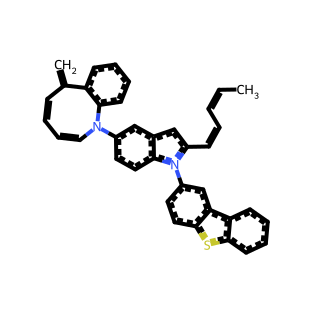 C=C1/C=C\C=C/N(c2ccc3c(c2)cc(/C=C\C=C/C)n3-c2ccc3sc4ccccc4c3c2)c2ccccc21